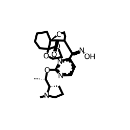 C[C@H](Oc1nccc(/C(=N\O)C2CCC[C@@]3(CCCCC34OCCO4)C2=O)n1)[C@@H]1CCCN1C